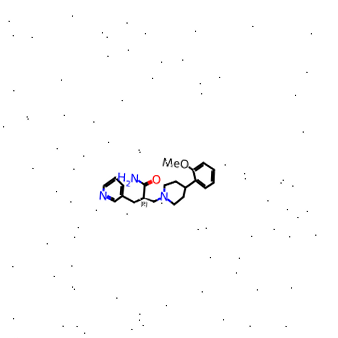 COc1ccccc1C1CCN(C[C@@H](Cc2cccnc2)C(N)=O)CC1